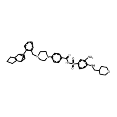 O=C(NS(=O)(=O)c1ccc(NCC2CCOCC2)c([N+](=O)[O-])c1)c1ccc(N2CCN(Cc3ccccc3C3=CC4CC3C3=C4CCC3)CC2)cc1